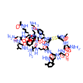 CC(=O)NCCCC[C@H](NC(=O)[C@](C)(CCCCN)NC(=O)[C@H](Cc1ccc2ccccc2c1)NC(=O)[C@H](Cc1ccc(OCCN)cc1)NC(=O)[C@H]1NC(=O)[C@H](CCCCNC(=O)C(C)(C)N)NC(=O)[C@H](Cc2c[nH]c3c(C)cccc23)NC(=O)[C@H]([C@@H](C)O)NC(=O)[C@H](CC(N)=O)NC(=O)[C@@H](NC(C)=O)C(C)(C)SSC1(C)C)C(=O)N[C@@H](CC(N)=O)C(=O)N[C@H](CC(C)C)C(N)=O